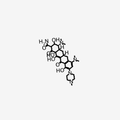 CN1CCN(c2cc(N(C)C)c3c(c2O)C(=O)C2=C(O)[C@]4(O)C(=O)C(C(N)=O)C(O)[C@@H](N(C)C)[C@@H]4C[C@@H]2C3)CC1